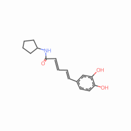 O=C(/C=C/C=C/c1ccc(O)c(O)c1)NC1CCCC1